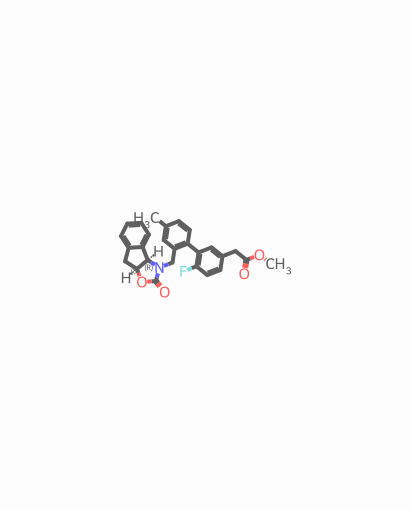 COC(=O)Cc1ccc(F)c(-c2ccc(C)cc2CN2C(=O)O[C@H]3Cc4ccccc4[C@H]32)c1